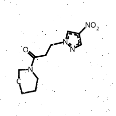 O=C(CCn1cc([N+](=O)[O-])cn1)N1CCCCC1